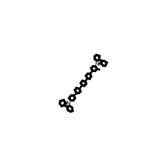 Cc1cc(-c2ccc(-c3ccc(-c4ccc(-c5ccc(-n6c7ccccc7c7ccccc76)cc5)cc4)cc3)cc2)ccc1-n1c2ccccc2c2ccccc21